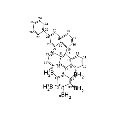 Bc1c(B)c(B)c(-c2c3ccccc3c(-c3cccc4cc(-c5ccccc5)ccc34)c3ccccc23)c(B)c1B